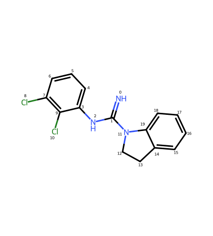 N=C(Nc1cccc(Cl)c1Cl)N1CCc2ccccc21